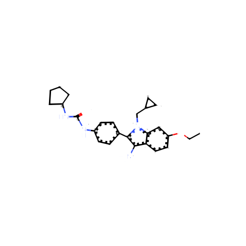 CCOc1ccc2c(N)c(-c3ccc(NC(=O)NC4CCCC4)cc3)n(CC3CC3)c2c1